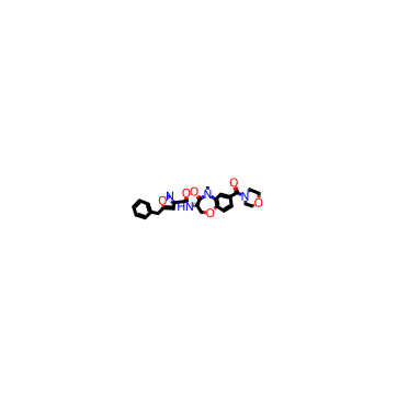 CN1C(=O)[C@@H](NC(=O)c2cc(Cc3ccccc3)on2)COc2ccc(C(=O)N3CCOCC3)cc21